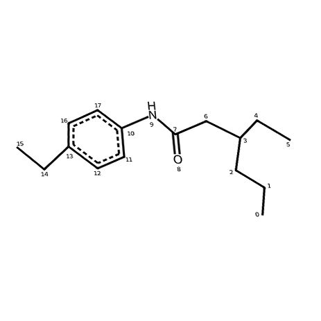 CCCC(CC)CC(=O)Nc1ccc(CC)cc1